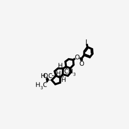 CC(=O)[C@H]1CC[C@H]2[C@@H]3CCC4CC(OC(=O)c5cccc(I)c5)CC[C@]4(C)[C@H]3CC[C@]12C